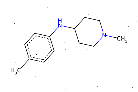 Cc1ccc(NC2CCN(C)CC2)cc1